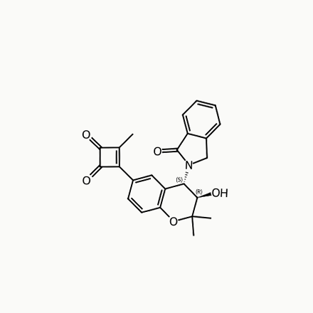 Cc1c(-c2ccc3c(c2)[C@H](N2Cc4ccccc4C2=O)[C@@H](O)C(C)(C)O3)c(=O)c1=O